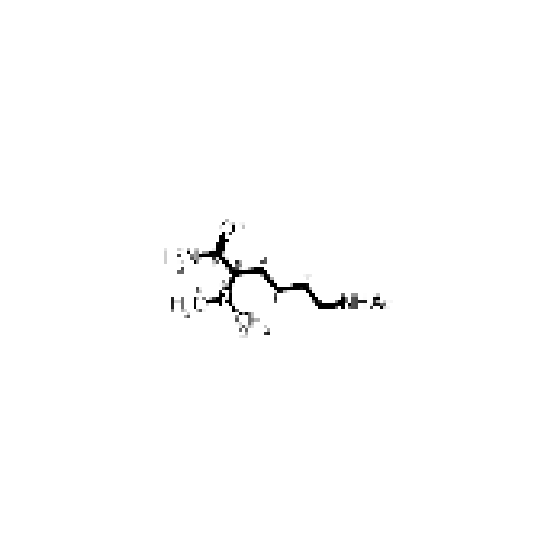 CC(=O)NCCCCC(C(N)=O)N(C)C